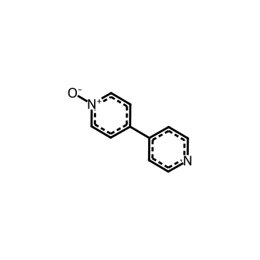 [O-][n+]1ccc(-c2ccncc2)cc1